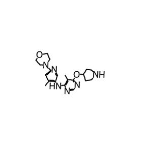 Cc1cc(N2CCOCC2)ncc1Nc1ncnc(OC2CCNCC2)c1C